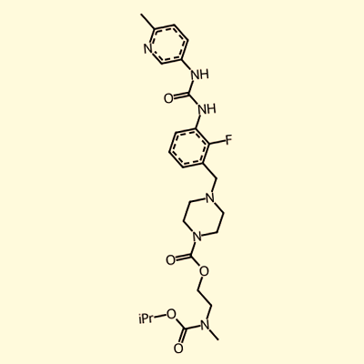 Cc1ccc(NC(=O)Nc2cccc(CN3CCN(C(=O)OCCN(C)C(=O)OC(C)C)CC3)c2F)cn1